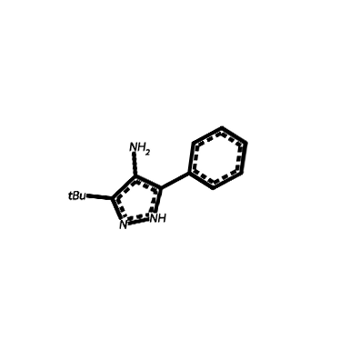 CC(C)(C)c1n[nH]c(-c2ccccc2)c1N